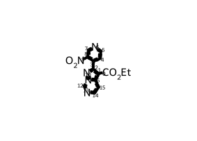 CCOC(=O)c1c(-c2ccncc2[N+](=O)[O-])nn2cnccc12